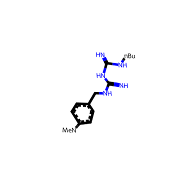 CCCCNC(=N)NC(=N)NCc1ccc(NC)cc1